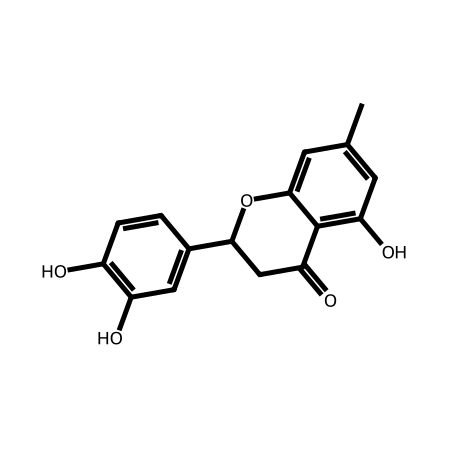 Cc1cc(O)c2c(c1)OC(c1ccc(O)c(O)c1)CC2=O